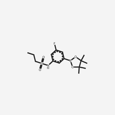 CCCS(=O)(=O)Nc1cc(F)cc(B2OC(C)(C)C(C)(C)O2)c1